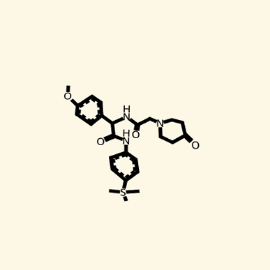 COc1ccc(C(NC(=O)CN2CCC(=O)CC2)C(=O)Nc2ccc(S(C)(C)C)cc2)cc1